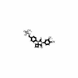 CS(=O)(=O)OCc1ccc(N2C(=S)N(c3ccc(C#N)c(C(F)(F)F)c3)C(=O)C23CCC3)cc1